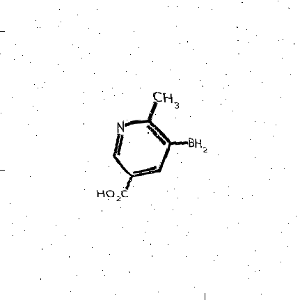 Bc1cc(C(=O)O)cnc1C